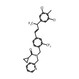 Cc1c(Cl)cc(C(/C=C/c2ccc(CN(Cc3ccccn3)C(=O)C3CC3)c(C(F)(F)F)c2)C(F)(F)F)cc1Cl